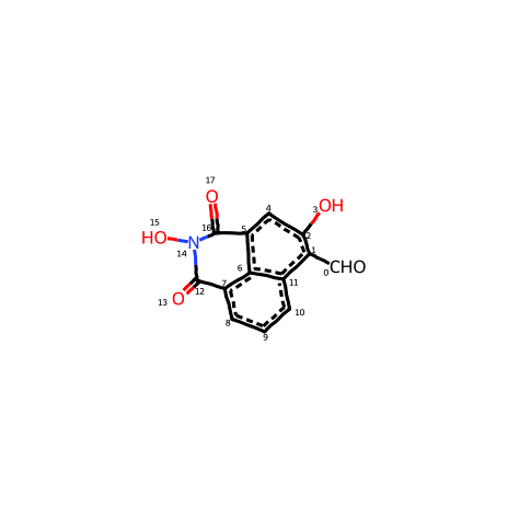 O=Cc1c(O)cc2c3c(cccc13)C(=O)N(O)C2=O